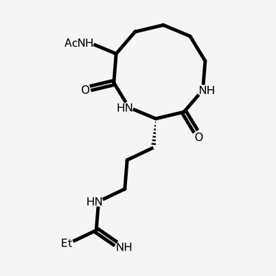 CCC(=N)NCCC[C@@H]1NC(=O)C(NC(C)=O)CCCCNC1=O